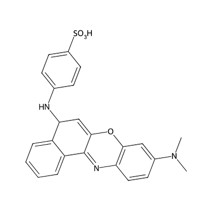 CN(C)c1ccc2c(c1)OC1=CC(Nc3ccc(S(=O)(=O)O)cc3)c3ccccc3C1=N2